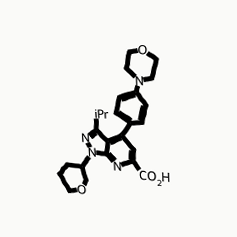 CC(C)c1nn(C2CCCOC2)c2nc(C(=O)O)cc(-c3ccc(N4CCOCC4)cc3)c12